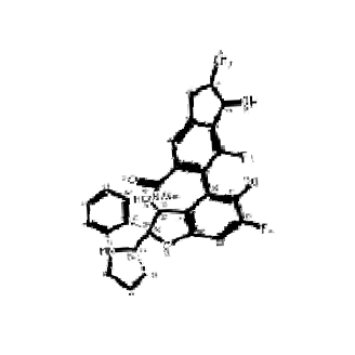 CNC(=O)c1cc2c(c(F)c1-c1c(Cl)c(F)cc3c1[C@H](O)[C@](c1ccccc1)([C@@H]1CCCN1)O3)C(O)C(C)C2